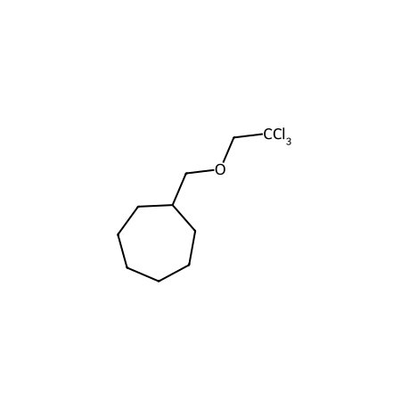 ClC(Cl)(Cl)COCC1CCCCCC1